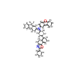 CC1(C)c2ccccc2-c2ccc(N(C3=CC=C(c4cccc5c4ccc4nc(-c6ccccc6)oc45)CC3)c3ccc4oc5ccccc5c4c3)cc21